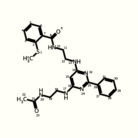 CSc1ccccc1C(=O)NCCNc1cc(NCCNC(C)=O)nc(-c2ccccc2)n1